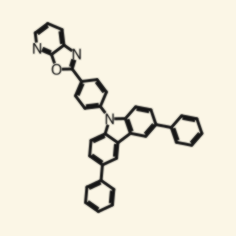 c1ccc(-c2ccc3c(c2)c2cc(-c4ccccc4)ccc2n3-c2ccc(-c3nc4cccnc4o3)cc2)cc1